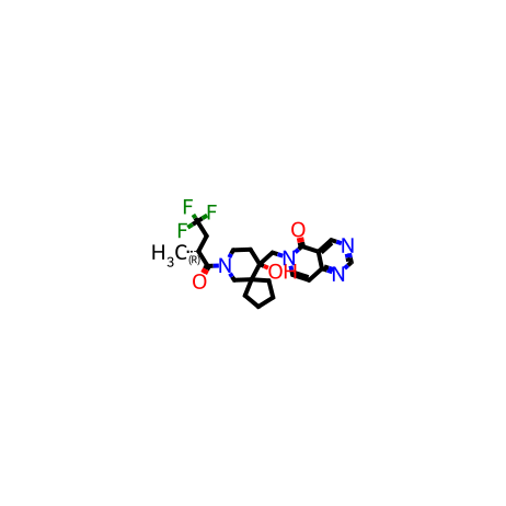 C[C@H](CC(F)(F)F)C(=O)N1CCC(O)(Cn2ccc3ncncc3c2=O)C2(CCCC2)C1